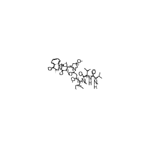 CC[C@H](C)[C@@H]([C@H](CC(=O)N1C[C@H](OC)C[C@@H]1[C@H](OC)[C@@H](C)C(=O)N[C@H](C)C(=O)c1ccccc1OC)OC)N(C)C(=O)[C@@H](NC(=O)[C@@H](NC)C(C)C)C(C)C